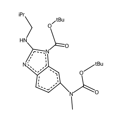 CC(C)CNc1nc2ccc(N(C)C(=O)OC(C)(C)C)cc2n1C(=O)OC(C)(C)C